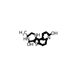 C[C@@H]1CNc2c(sc3ccc4nc(O)ccc4c23)C(O)N1